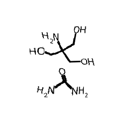 NC(CO)(CO)CO.NC(N)=O